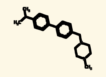 CC(C)c1ccc(-c2ccc(CN3CCN(C)CC3)cc2)cc1